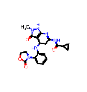 Cn1[nH]c2c(c1=O)C(Nc1ccccc1N1CCOC1=O)CC(NC(=O)C1CC1)=N2